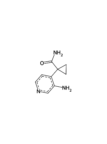 NC(=O)C1(c2ccncc2N)CC1